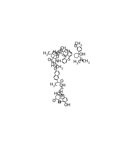 C=CCC1(CC(C)C)C(=O)NC(=O)NC1=O.CC(CN1c2ccccc2Sc2ccccc21)N(C)C.COc1ccc2cc([C@H](C)C(=O)O)ccc2c1.COc1cccc([C@@]2(O)CCCC[C@@H]2CN(C)C)c1.O=C1CC[C@@]2(O)[C@H]3Cc4ccc(O)c5c4[C@@]2(CCN3CC2CC2)[C@H]1O5